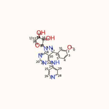 COc1cccc(-c2nn([C@@H]3O[C@H](C)[C@@H](O)[C@H]3O)c3ncnc(Nc4ccncc4)c23)c1